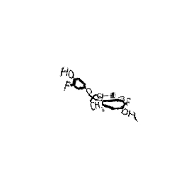 CCC(CC)(COc1ccc(O)c(F)c1)COc1ccc(O)c(F)c1